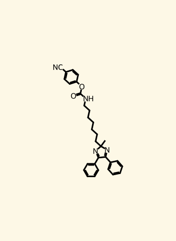 CC1(CCCCCCCNC(=O)Oc2ccc(C#N)cc2)N=C(c2ccccc2)C(c2ccccc2)=N1